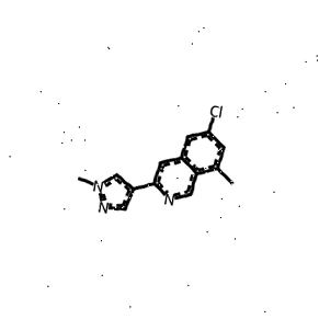 Cc1cc(Cl)cc2cc(-c3cnn(C)c3)ncc12